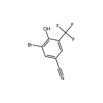 N#Cc1cc(Br)c(O)c(C(F)(F)F)c1